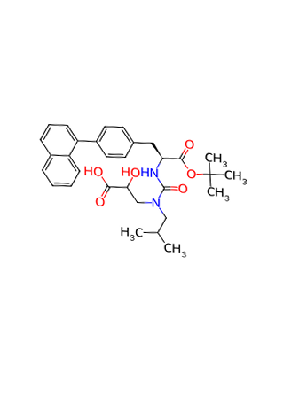 CC(C)CN(CC(O)C(=O)O)C(=O)N[C@@H](Cc1ccc(-c2cccc3ccccc23)cc1)C(=O)OC(C)(C)C